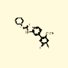 COc1cc(F)c(F)cc1-c1ccnc(NC(=O)NC2CCCCC2)c1